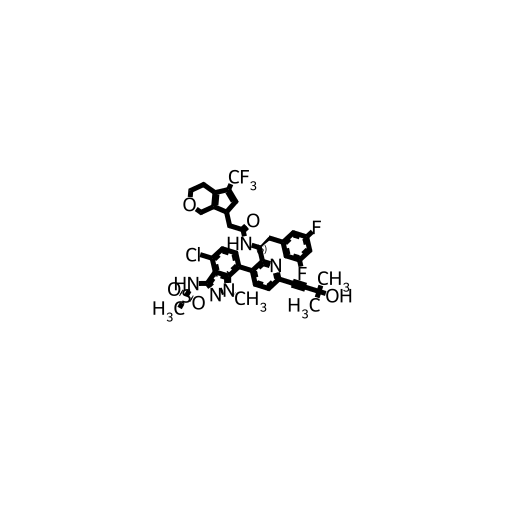 Cn1nc(NS(C)(=O)=O)c2c(Cl)ccc(-c3ccc(C#CC(C)(C)O)nc3[C@H](Cc3cc(F)cc(F)c3)NC(=O)CC3C=C(C(F)(F)F)C4=C3COCC4)c21